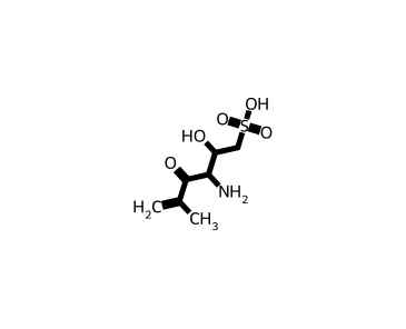 C=C(C)C(=O)C(N)C(O)CS(=O)(=O)O